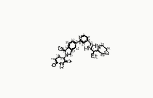 CCC(NCc1ccnc(-c2ccc3c(c2)CN(C2CCC(=O)NC2=O)C3=O)c1)C1COCCN1